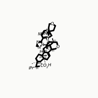 CNC1(CO[C@H]2[C@H](n3ncnc3-c3ccncn3)C[C@@]34COC[C@]2(C)[C@@H]3CC[C@H]2C4=CC[C@@]3(C)[C@H](C(=O)O)[C@@](C)([C@H](C)C(C)C)CC[C@]23C)CCOCC1